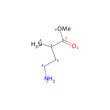 COC(=O)C([SiH3])CCN